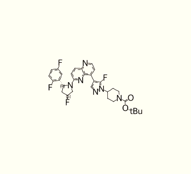 CC(C)(C)OC(=O)N1CCC(n2ncc(-c3ccnc4ccc(N5C[C@@H](F)C[C@@H]5c5cc(F)ccc5F)nc34)c2F)CC1